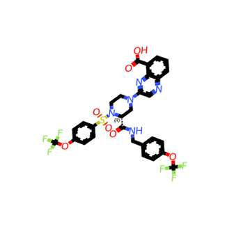 O=C(O)c1cccc2ncc(N3CCN(S(=O)(=O)c4ccc(OC(F)(F)F)cc4)[C@@H](C(=O)NCc4ccc(OC(F)(F)F)cc4)C3)nc12